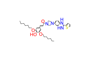 CCCCCCCOc1cc(C=CC(=O)N2CCN(c3ccc(NC(=N)c4cccs4)cc3)CC2)cc(OCCCCCCC)c1O